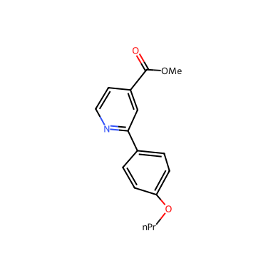 CCCOc1ccc(-c2cc(C(=O)OC)ccn2)cc1